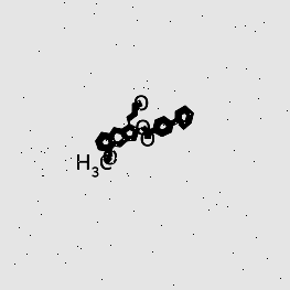 COc1cccc2c1CC1C[C@@H](OC(=O)c3ccc(-c4ccccc4)cc3)[C@H](CCC=O)C1C2